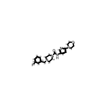 O=C(Nc1ccc(N2CCOCC2)nc1)N1CCN(Cc2cccc(F)c2)CC1